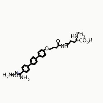 NN/N=C(\N)c1ccc(-c2ccc(-c3ccc(OCCCC(=O)NCCCC[C@H](NP)C(=O)O)cc3)cc2)cc1